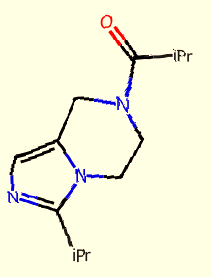 CC(C)C(=O)N1CCn2c(cnc2C(C)C)C1